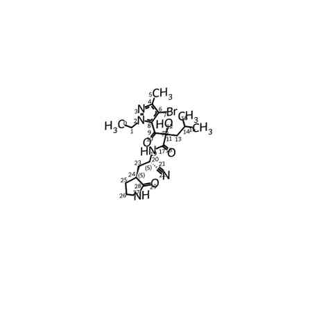 CCn1nc(C)c(Br)c1C(=O)[C@](O)(CC(C)C)C(=O)N[C@H](C#N)C[C@@H]1CCNC1=O